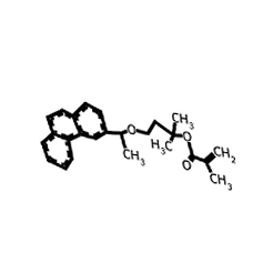 C=C(C)C(=O)OC(C)(C)CCOC(C)c1ccc2ccc3ccccc3c2c1